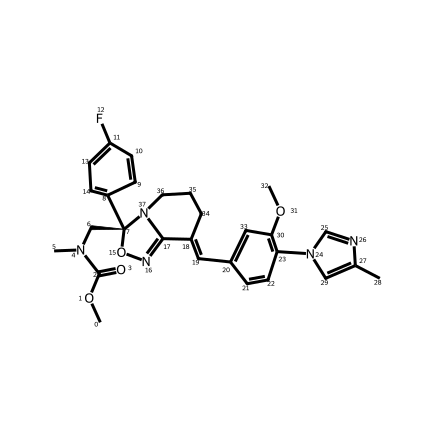 COC(=O)N(C)C[C@]1(c2ccc(F)cc2)ON=C2/C(=C/c3ccc(-n4cnc(C)c4)c(OC)c3)CCCN21